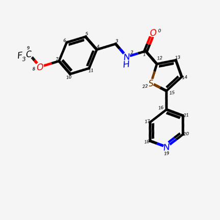 O=C(NCc1ccc(OC(F)(F)F)cc1)c1ccc(-c2ccncc2)s1